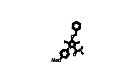 COc1ccc(-n2c(I)c(OCc3ccccc3)c(C)c2C(=O)N(C)C)cc1